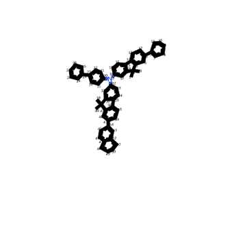 CC1(C)c2cc(-c3ccccc3)ccc2-c2ccc(N(c3ccc(-c4ccccc4)cc3)c3ccc4c(c3)C(C)(C)c3cc(-c5ccc6ccccc6c5)ccc3-4)cc21